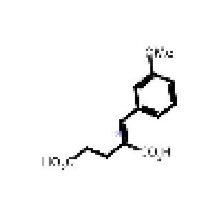 COc1cccc(/C=C(/CCC(=O)O)C(=O)O)c1